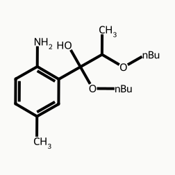 CCCCOC(C)C(O)(OCCCC)c1cc(C)ccc1N